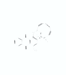 C[C@@H](O)C12O[C@]13c1cc(O)c4c(c1N[C@H]2C#C/C=C\C#C[C@H]3O)C(=O)c1ccccc1C4=O